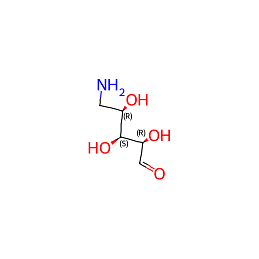 NC[C@@H](O)[C@H](O)[C@@H](O)C=O